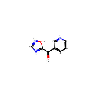 O=C(c1cccnc1)c1ncno1